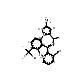 CC1N=C(c2ncccc2F)c2c(ccc(C(F)(F)F)c2Cl)-n2nc(N)nc21